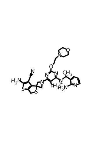 C[C@H](c1cccnc1N)N(C)c1nc(OCCN2CCOCC2)nc(N2CC3(C2)SCc2sc(N)c(C#N)c23)c1F